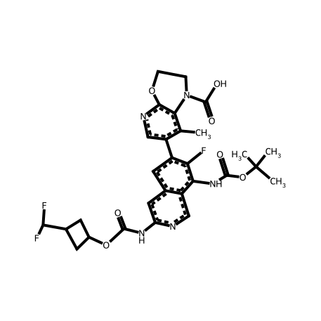 Cc1c(-c2cc3cc(NC(=O)OC4CC(C(F)F)C4)ncc3c(NC(=O)OC(C)(C)C)c2F)cnc2c1N(C(=O)O)CCO2